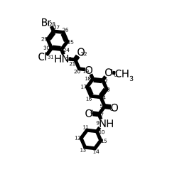 COc1cc(C(=O)C(=O)NC2CCCCC2)ccc1OCC(=O)Nc1ccc(Br)cc1Cl